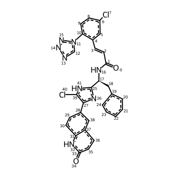 O=C(/C=C/c1cc(Cl)ccc1-n1cnnn1)N[C@@H](Cc1ccccc1)c1nc(-c2ccc3[nH]c(=O)ccc3c2)c(Cl)[nH]1